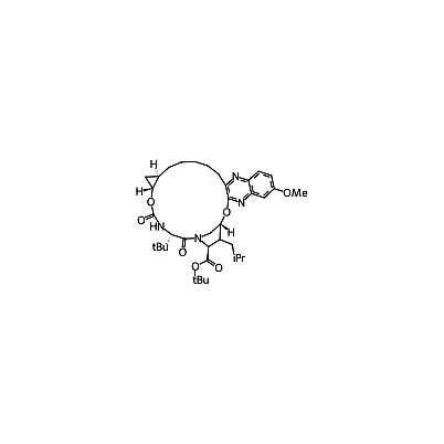 COc1ccc2nc3c(nc2c1)O[C@H]1CN(C(=O)[C@H](C(C)(C)C)NC(=O)O[C@@H]2C[C@H]2CCCCC3)[C@H](C(=O)OC(C)(C)C)C1CC(C)C